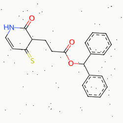 O=C(CCC1C(=O)NC=CC1=S)OC(c1ccccc1)c1ccccc1